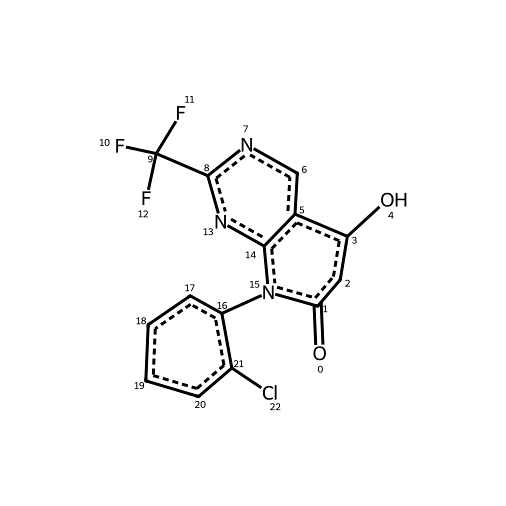 O=c1cc(O)c2cnc(C(F)(F)F)nc2n1-c1ccccc1Cl